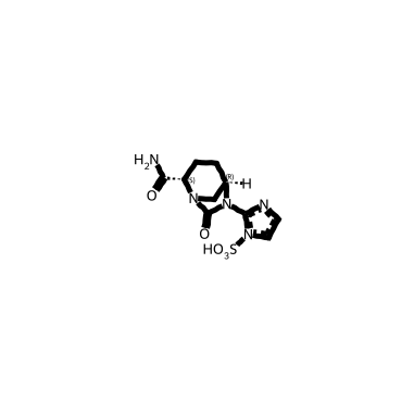 NC(=O)[C@@H]1CC[C@@H]2CN1C(=O)N2c1nccn1S(=O)(=O)O